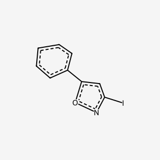 Ic1cc(-c2ccccc2)on1